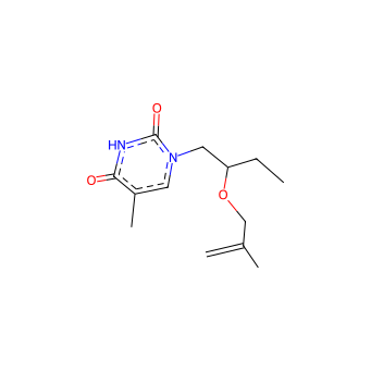 C=C(C)COC(CC)Cn1cc(C)c(=O)[nH]c1=O